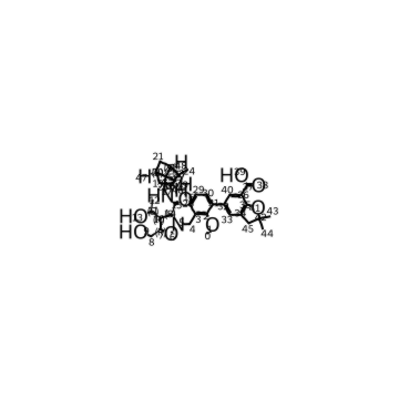 COc1c(CN2O[C@@H](CO)[C@@H]([C@H](C)O)[C@H]2C(=O)N[C@H]2C[C@H]3C[C@@H]([C@@H]2C)C3(C)C)cccc1-c1cc2c(c(C(=O)O)c1)OC(C)(C)C2